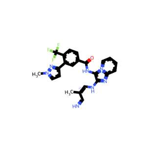 C/C(C=N)=C/Nc1nc2ccccn2c1NC(=O)c1ccc(C(F)(F)F)c(-c2ccn(C)n2)c1